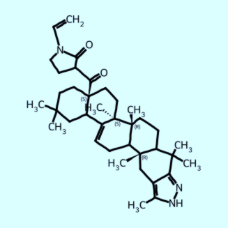 C=CN1CCC(C(=O)[C@]23CCC(C)(C)CC2C2=CCC4[C@@]5(C)Cc6c(n[nH]c6C)C(C)(C)C5CC[C@@]4(C)[C@]2(C)CC3)C1=O